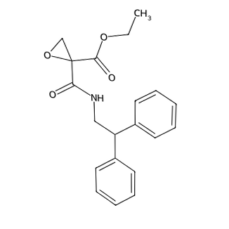 CCOC(=O)C1(C(=O)NCC(c2ccccc2)c2ccccc2)CO1